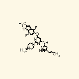 C/C=C/c1cc(Nc2cc(Oc3cc(F)c4[nH]c(C)cc4c3F)nc(N3CCN(C)CC3)n2)n[nH]1